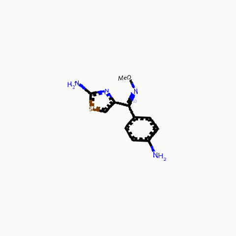 CO/N=C(/c1ccc(N)cc1)c1csc(N)n1